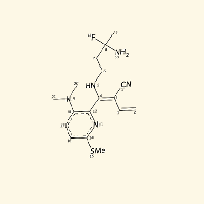 C=C/C(C#N)=C(/NCCC(C)(N)F)c1nc(SC)ccc1N(C)C